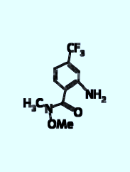 CON(C)C(=O)c1ccc(C(F)(F)F)cc1N